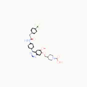 COc1cc2c(-c3ccc(NC(=O)Cc4ccc(C(F)(F)F)cc4)cc3)ncnc2cc1OCC1CCN(C(=O)O)CC1